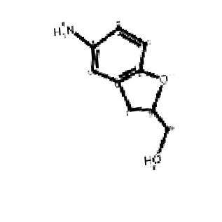 Nc1ccc2c(c1)CC(CO)O2